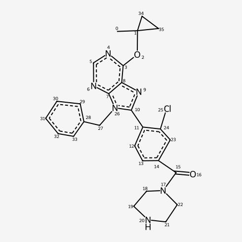 CC1(Oc2ncnc3c2nc(-c2ccc(C(=O)N4CCNCC4)cc2Cl)n3Cc2ccccc2)CC1